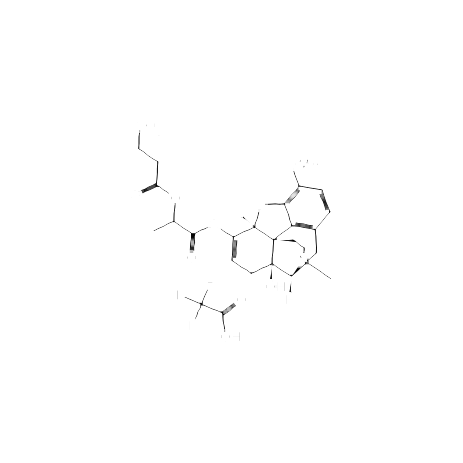 COc1ccc2c3c1O[C@H]1C(OC(=O)C(C)OC(=O)CCC(=O)O)=CC[C@@]4(O)[C@@H](C2)N(C)CC[C@]314.O=C(O)C(F)(F)F